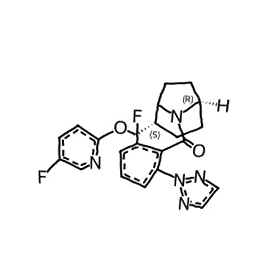 O=C(c1c(F)cccc1-n1nccn1)N1C2CC[C@H]1CC[C@@H]2COc1ccc(F)cn1